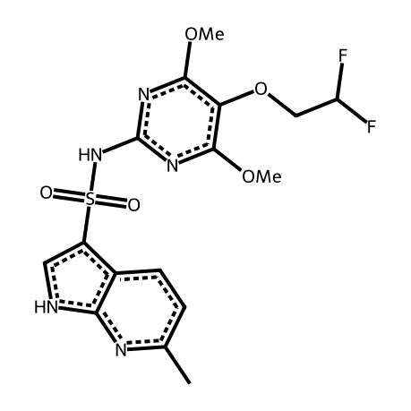 COc1nc(NS(=O)(=O)c2c[nH]c3nc(C)ccc23)nc(OC)c1OCC(F)F